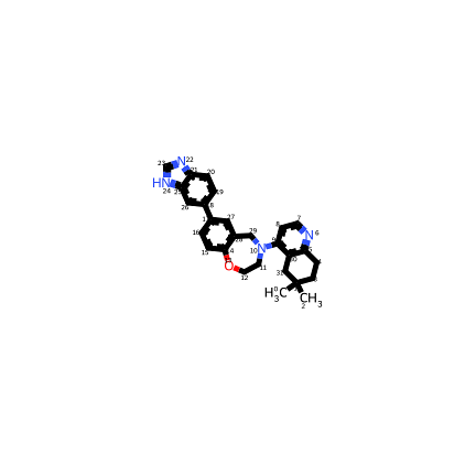 CC1(C)CCc2nccc(N3CCOc4ccc(-c5ccc6nc[nH]c6c5)cc4C3)c2C1